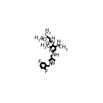 CNc1cc(NCc2cnn(Cc3cc(F)ccc3F)c2)nc(C)c1NC(=O)C[C@@H](C)OC